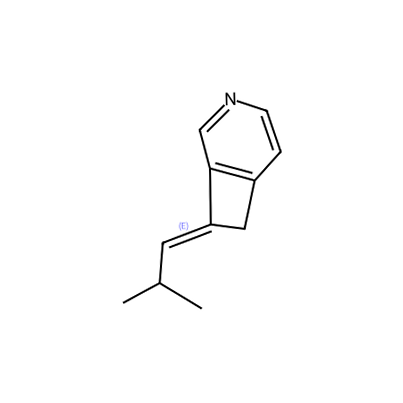 CC(C)/C=C1\Cc2ccncc21